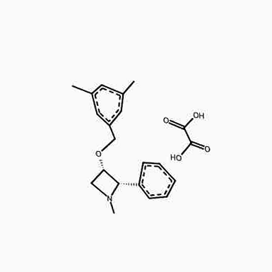 Cc1cc(C)cc(CO[C@H]2CN(C)[C@H]2c2ccccc2)c1.O=C(O)C(=O)O